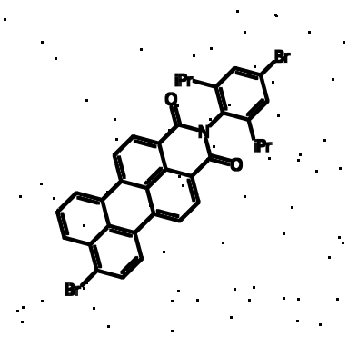 CC(C)c1cc(Br)cc(C(C)C)c1N1C(=O)c2ccc3c4cccc5c(Br)ccc(c6ccc(c2c36)C1=O)c54